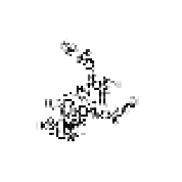 Cc1cc(Nc2nc(Nc3cc(N)c(S(=O)(=O)O)cc3/N=N/c3ccc(S(=O)(=O)CCOS(=O)(=O)O)cc3)nc(Nc3cc(N)c(S(=O)(=O)O)cc3/N=N/c3ccc(S(=O)(=O)CCOS(=O)(=O)O)cc3)n2)ccc1/N=N/c1cc(S(=O)(=O)O)c2cccc(S(=O)(=O)O)c2c1